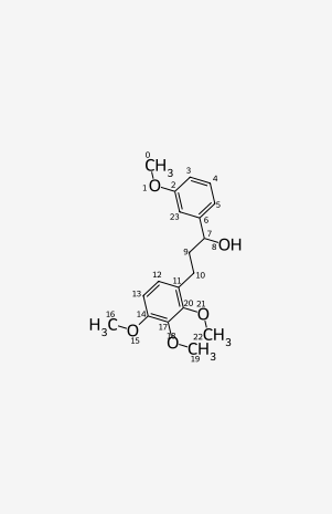 COc1cccc(C(O)CCc2ccc(OC)c(OC)c2OC)c1